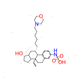 C=CC12CCc3cc(NS(=O)(=O)O)ccc3C1[C@@H](CCCCCCN1CCOCC1)C[C@@]1(C)C2CC[C@@H]1O